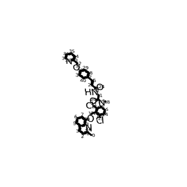 Cc1ccc2cccc(OCc3c(Cl)ccc(N(C)C(=O)CNC(=O)/C=C/c4ccc(OCc5ccccn5)cc4)c3Cl)c2n1